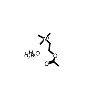 CC(=O)OCC[N+](C)(C)C.O.P